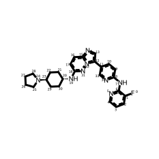 Fc1cccnc1Nc1ccc(-c2cnc3ccc(N[C@H]4CC[C@H](N5CCCC5)CC4)nn23)cn1